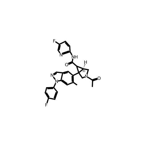 CC(=O)N1C[C@@H]2C(C(=O)Nc3ccc(F)cn3)C2(c2cc3cnn(-c4ccc(F)cc4)c3cc2C)C1